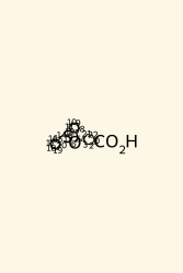 O=C(O)[C@H]1CC[C@H](C(=O)c2ccccc2SCc2ccccc2)CC1